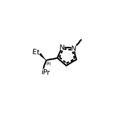 CC[C@@H](c1ccn(C)n1)C(C)C